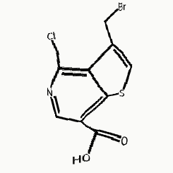 O=C(O)c1cnc(Cl)c2c(CBr)csc12